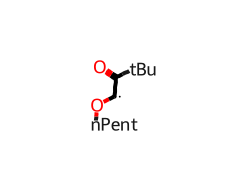 CCCCCO[CH]C(=O)C(C)(C)C